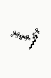 CCCCCCN1C=CN(C)C1.[Cl][Al]([Cl])[Cl].[Cl][Al]([Cl])[Cl].[Cl][Al]([Cl])[Cl].[Cl][Al]([Cl])[Cl].[Cl][Al]([Cl])[Cl]